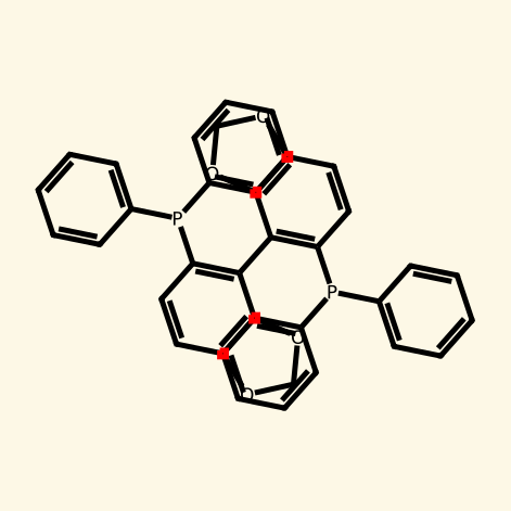 c1ccc(P(c2ccccc2)c2ccc3c(c2-c2c(P(c4ccccc4)c4ccccc4)ccc4c2OCO4)OCO3)cc1